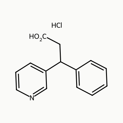 Cl.O=C(O)CC(c1ccccc1)c1cccnc1